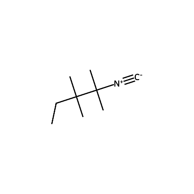 [C-]#[N+]C(C)(C)C(C)(C)CC